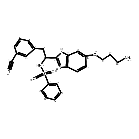 N#Cc1cccc(CC(NS(=O)(=O)c2ccccc2)c2nc3ccc(OCCCN)cc3s2)c1